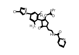 CCCC(=O)OC1=C(c2c(C)cc(-n3cc(Cl)cn3)cc2C)C(=O)C(CCNC(=O)c2ccccn2)C1